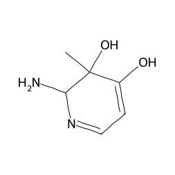 CC1(O)C(O)=CC=NC1N